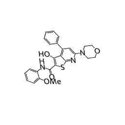 COc1ccccc1NC(=O)c1sc2nc(N3CCOCC3)cc(-c3ccccc3)c2c1O